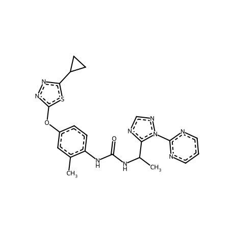 Cc1cc(Oc2nnc(C3CC3)s2)ccc1NC(=O)NC(C)c1ncnn1-c1ncccn1